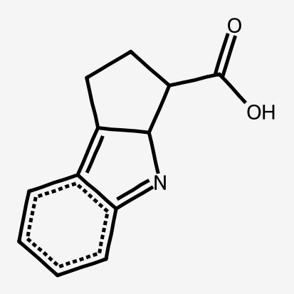 O=C(O)C1CCC2=c3ccccc3=NC21